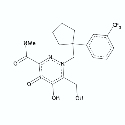 CNC(=O)c1nn(CC2(c3cccc(C(F)(F)F)c3)CCCC2)c(CO)c(O)c1=O